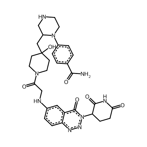 NC(=O)c1ccc(N2CCNCC2CC2(O)CCN(C(=O)CNc3ccc4nnn(C5CCC(=O)NC5=O)c(=O)c4c3)CC2)cc1